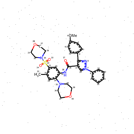 COc1ccc(-c2nn(-c3ccccc3)cc2C(=O)Nc2cc(S(=O)(=O)N3CCOCC3)c(C)cc2N2CCOCC2)cc1